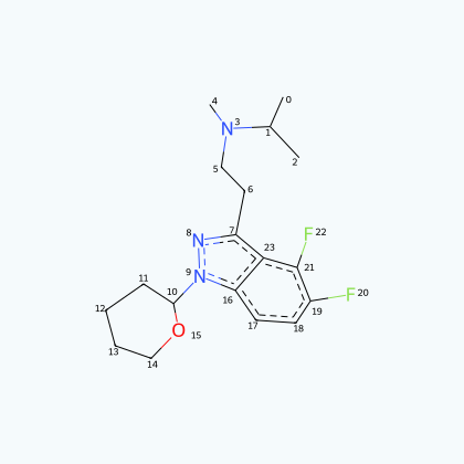 CC(C)N(C)CCc1nn(C2CCCCO2)c2ccc(F)c(F)c12